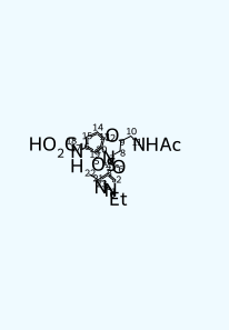 CCn1cc(S(=O)(=O)N2CC(CNC(C)=O)Oc3ccc(NC(=O)O)cc32)c(C)n1